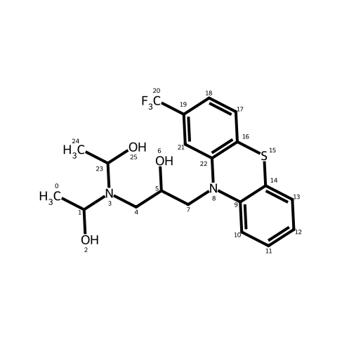 CC(O)N(CC(O)CN1c2ccccc2Sc2ccc(C(F)(F)F)cc21)C(C)O